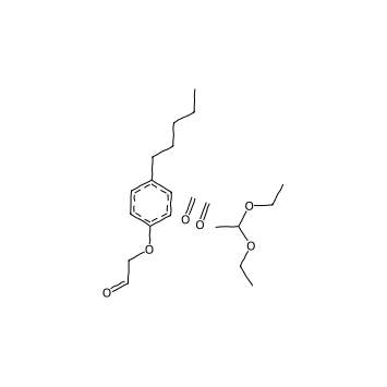 C=O.C=O.CCCCCc1ccc(OCC=O)cc1.CCOC(C)OCC